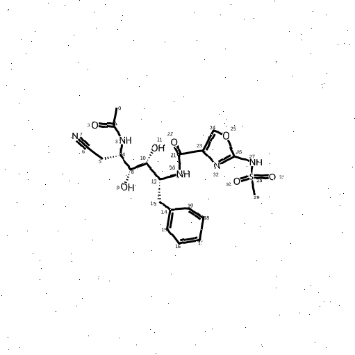 CC(=O)N[C@@H](CC#N)[C@@H](O)[C@H](O)[C@@H](Cc1ccccc1)NC(=O)c1coc(NS(C)(=O)=O)n1